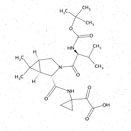 CC(C)[C@H](NC(=O)OC(C)(C)C)C(=O)N1C[C@H]2[C@@H]([C@H]1C(=O)NC1(C(=O)C(=O)O)CC1)C2(C)C